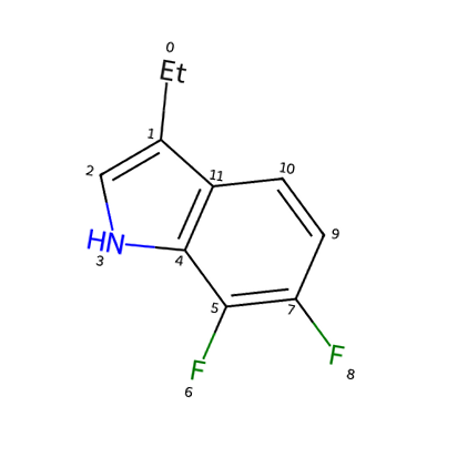 CCc1c[nH]c2c(F)c(F)ccc12